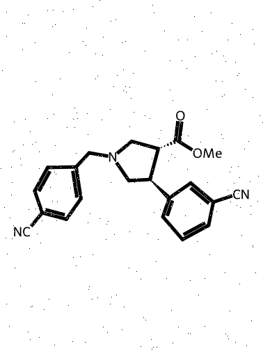 COC(=O)[C@H]1CN(Cc2ccc(C#N)cc2)C[C@@H]1c1cccc(C#N)c1